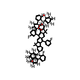 [2H]c1c([2H])c([2H])c(-c2cccc(F)c2N(c2ccc3c(c2)C(C)(C)c2cc4c(-c5cccc(F)c5)c5c(cc4c(-c4cccc(F)c4)c2-3)C(C)(C)c2cc(N(c3c(F)cccc3-c3c([2H])c([2H])c([2H])c([2H])c3[2H])c3c([2H])c([2H])c([2H])c([2H])c3[2H])ccc2-5)c2c([2H])c([2H])c([2H])c([2H])c2[2H])c([2H])c1[2H]